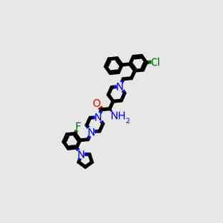 N[C@@H](C(=O)N1CCN(Cc2c(F)cccc2N2CCCC2)CC1)C1CCN(CCc2cc(Cl)ccc2-c2ccccc2)CC1